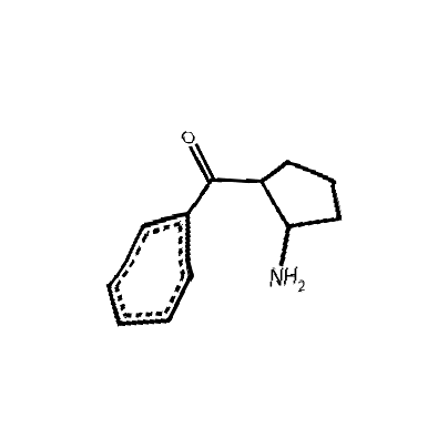 NC1CCCC1C(=O)c1ccccc1